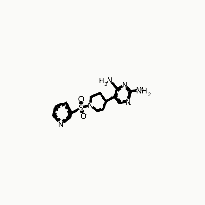 Nc1ncc(C2CCN(S(=O)(=O)c3cccnc3)CC2)c(N)n1